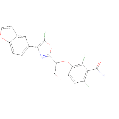 NC(=O)c1c(F)ccc(OC(CO)c2nc(-c3ccc4occc4c3)c(Br)o2)c1F